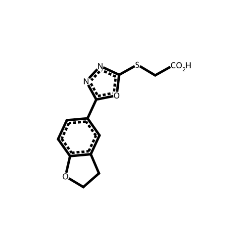 O=C(O)CSc1nnc(-c2ccc3c(c2)CCO3)o1